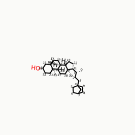 C[C@H](CCC12CCC(CC1)C2)[C@H]1CC[C@H]2[C@@H]3CC=C4C[C@@H](O)CC[C@]4(C)[C@H]3CC[C@]12C